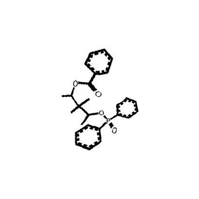 CC(OC(=O)c1ccccc1)C(C)(C)C(C)OP(=O)(c1ccccc1)c1ccccc1